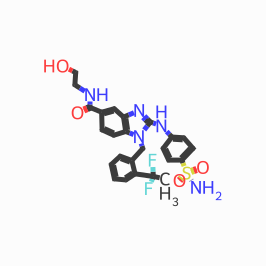 CC(F)(F)c1ccccc1Cn1c(Nc2ccc(S(N)(=O)=O)cc2)nc2cc(C(=O)NCCO)ccc21